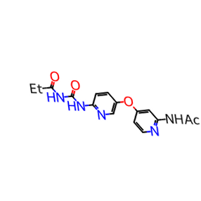 CCC(=O)NC(=O)Nc1ccc(Oc2ccnc(NC(C)=O)c2)cn1